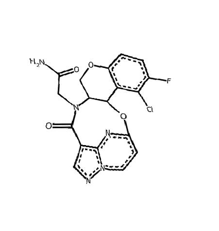 NC(=O)CN1C(=O)c2cnn3ccc(nc23)OC2c3c(ccc(F)c3Cl)OCC21